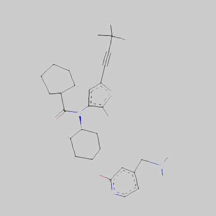 CN(C)Cc1ccnc(O[C@H]2CC[C@H](N(C(=O)C3CCCCC3)c3cc(C#CC(C)(C)C(F)(F)F)sc3C(=O)O)CC2)c1